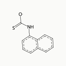 [O]C(=S)Nc1cccc2ccccc12